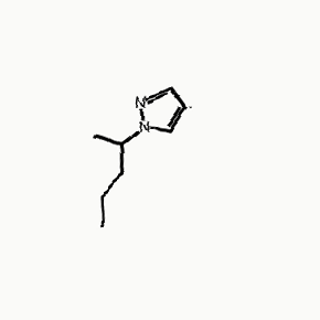 CCCC(C)n1c[c]cn1